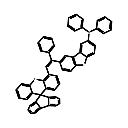 C(=C(\c1ccccc1)c1ccc2sc3ccc(N(c4ccccc4)c4ccccc4)cc3c2c1)/c1cccc2c1Oc1ccccc1C21c2ccccc2-c2ccccc21